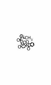 CCN1CCCC1C(=O)OCN1C(=O)CCC(N2C(=O)c3ccccc3C2=O)C1=O